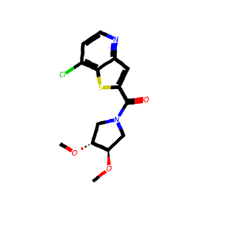 CO[C@@H]1CN(C(=O)c2cc3nccc(Cl)c3s2)C[C@H]1OC